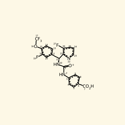 O=C(Nc1ccc(C(=O)O)cc1)N[C@@H](c1ccc(OC(F)(F)F)c(F)c1)c1ncccc1F